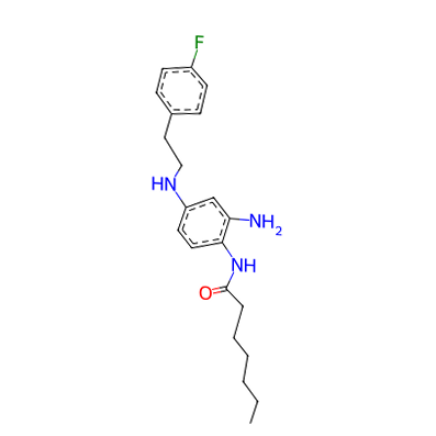 CCCCCCC(=O)Nc1ccc(NCCc2ccc(F)cc2)cc1N